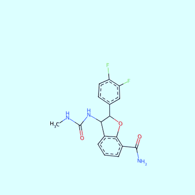 CNC(=O)NC1c2cccc(C(N)=O)c2OC1c1ccc(F)c(F)c1